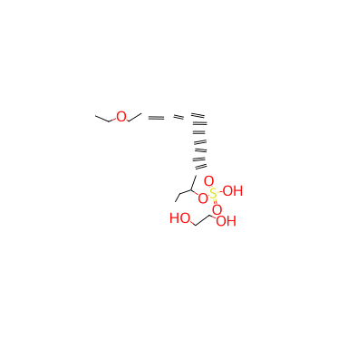 C=C.C=C.C=C.C=C.C=C.C=C.C=C.C=C.C=C.CCC(C)OS(=O)(=O)O.CCOCC.OCCO